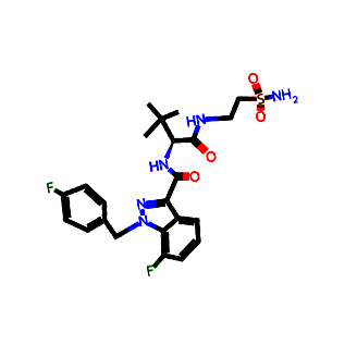 CC(C)(C)[C@H](NC(=O)c1nn(Cc2ccc(F)cc2)c2c(F)cccc12)C(=O)NCCS(N)(=O)=O